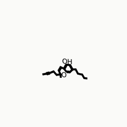 CC#CCCC1(C)C=Cc2c(O)cc(CCCCC)cc2O1